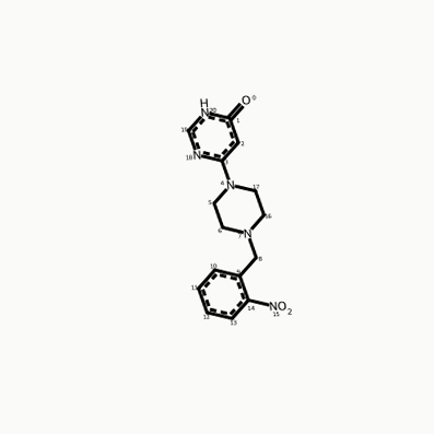 O=c1cc(N2CCN(Cc3ccccc3[N+](=O)[O-])CC2)nc[nH]1